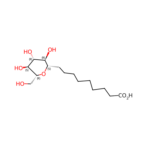 O=C(O)CCCCCCCC[C@@H]1O[C@H](CO)[C@@H](O)[C@H](O)[C@H]1O